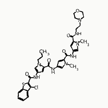 CCCn1cc(NC(=O)c2sc3ccccc3c2Cl)cc1C(=O)Nc1cc(C(=O)Nc2cc(C(=O)NCCN3CCOCC3)n(C)c2)n(C)c1